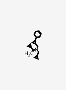 C=C(C1CC1)N(CC1CC1)CC1CC1C1CC=CCC1